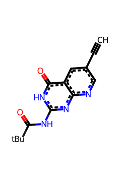 C#Cc1cnc2nc(NC(=O)C(C)(C)C)[nH]c(=O)c2c1